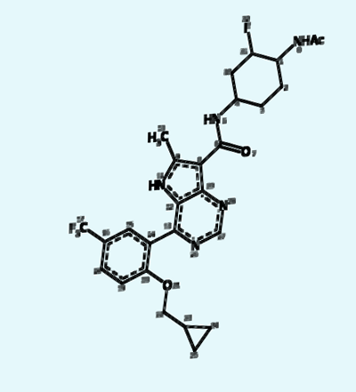 CC(=O)NC1CCC(NC(=O)c2c(C)[nH]c3c(-c4cc(C(F)(F)F)ccc4OCC4CC4)ncnc23)CC1F